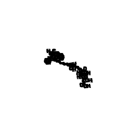 C[C@H](Cc1ccccc1)NC(=O)[C@H](Cc1ccccc1)NC(=O)CCCCCCCNC(=O)NCCCC[C@H](NC(=O)N[C@@H](CCC(=O)O)C(=O)O)C(=O)O